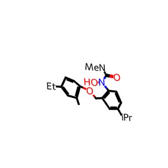 CCc1ccc(OCc2cc(C(C)C)ccc2N(O)C(=O)NC)c(C)c1